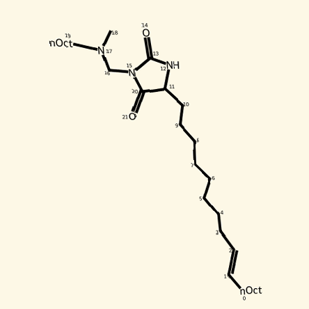 CCCCCCCCC=CCCCCCCCCC1NC(=O)N(CN(C)CCCCCCCC)C1=O